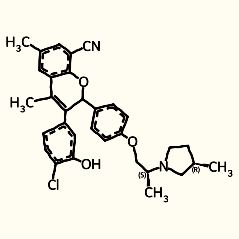 CC1=C(c2ccc(Cl)c(O)c2)C(c2ccc(OC[C@H](C)N3CC[C@@H](C)C3)cc2)Oc2c(C#N)cc(C)cc21